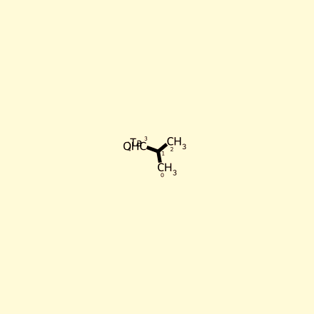 CC(C)C=O.[Ta]